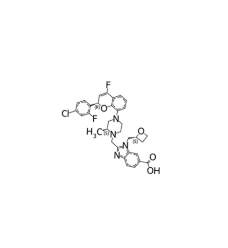 C[C@H]1CN(c2cccc3c2O[C@@H](c2ccc(Cl)cc2F)C=C3F)CCN1Cc1nc2ccc(C(=O)O)cc2n1C[C@@H]1CCO1